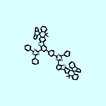 CC1(C)c2ccccc2C2(c3ccccc3-c3ccccc32)c2cc3oc4c(-c5nc(-c6ccccc6)nc(-c6ccc(-c7cc(-c8nc(-c9ccccc9)nc(-c9ccccc9)n8)c8sc9cc%10c(cc9c8c7)C(C)(C)c7ccccc7C%107c8ccccc8-c8ccccc87)cc6)n5)cccc4c3cc21